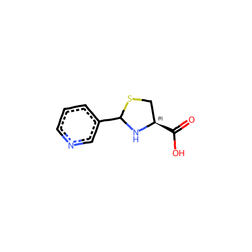 O=C(O)[C@@H]1CSC(c2cccnc2)N1